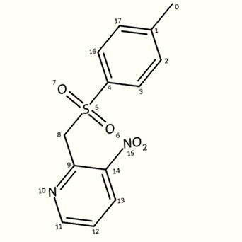 Cc1ccc(S(=O)(=O)Cc2ncccc2[N+](=O)[O-])cc1